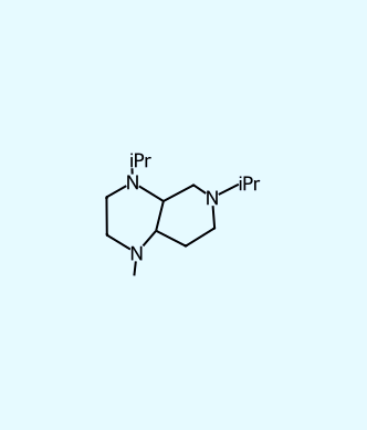 CC(C)N1CCC2C(C1)N(C(C)C)CCN2C